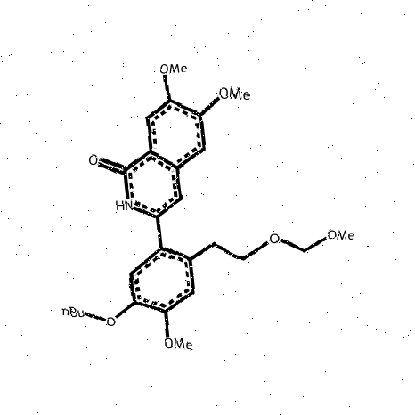 CCCCOc1cc(-c2cc3cc(OC)c(OC)cc3c(=O)[nH]2)c(CCOCOC)cc1OC